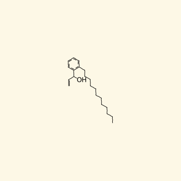 C=CC(O)c1ccccc1CCCCCCCCCCCC